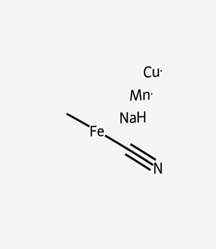 [CH3][Fe][C]#N.[Cu].[Mn].[NaH]